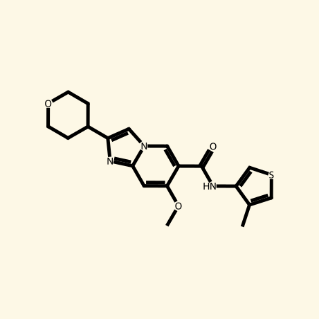 COc1cc2nc(C3CCOCC3)cn2cc1C(=O)Nc1cscc1C